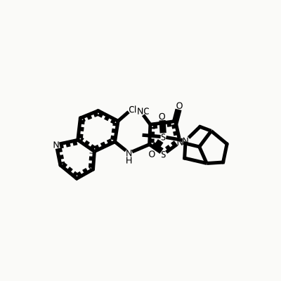 CS(=O)(=O)N1CC2CCC(C1)C2n1sc(Nc2c(Cl)ccc3ncccc23)c(C#N)c1=O